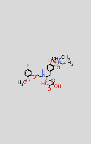 CCN(CC)S(=O)(=O)c1cc(CC(C)NCCOc2cc(F)ccc2OC)ccc1OC.O=C(O)C(=O)O